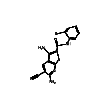 N#Cc1cc2c(N)c(C(=O)Nc3ccccc3Br)sc2nc1N